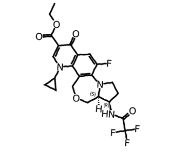 CCOC(=O)c1cn(C2CC2)c2c3c(c(F)cc2c1=O)N1CC[C@@H](NC(=O)C(F)(F)F)[C@H]1COC3